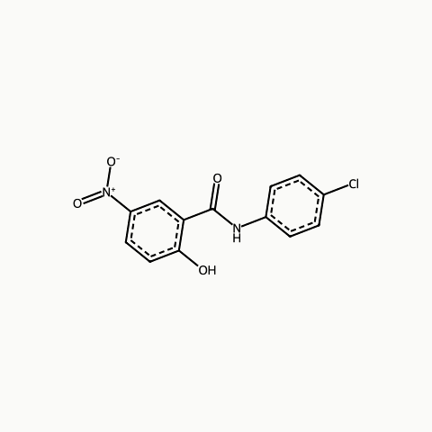 O=C(Nc1ccc(Cl)cc1)c1cc([N+](=O)[O-])ccc1O